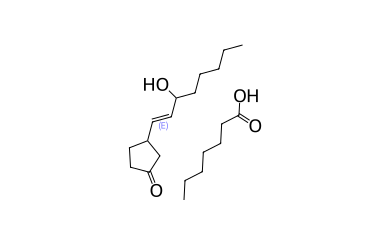 CCCCCC(O)/C=C/C1CCC(=O)C1.CCCCCCC(=O)O